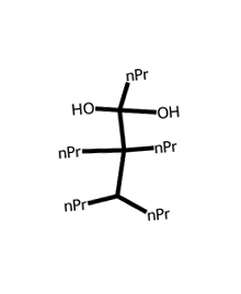 CCCC(CCC)C(CCC)(CCC)C(O)(O)CCC